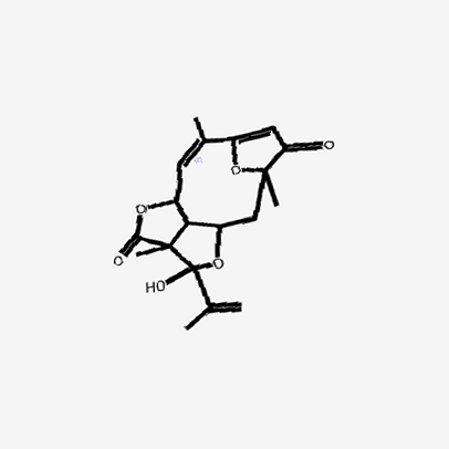 C=C(C)C1(O)OC2CC3(C)OC(=CC3=O)/C(C)=C\C3OC(=O)C1(C)C32